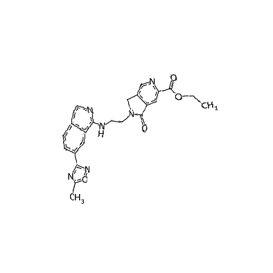 CCOC(=O)c1cc2c(cn1)CN(CCNc1nccc3ccc(-c4noc(C)n4)cc13)C2=O